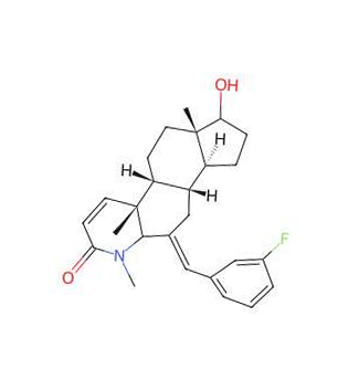 CN1C(=O)C=C[C@@]2(C)C1C(=Cc1cccc(F)c1)C[C@@H]1[C@H]2CC[C@]2(C)C(O)CC[C@@H]12